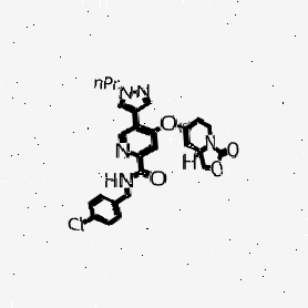 CCCn1cc(-c2cnc(C(=O)NCc3ccc(Cl)cc3)cc2O[C@H]2CCN3C(=O)OC[C@@H]3C2)cn1